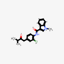 CC(C)C(=O)Cc1ccc(NC(=O)c2cn(C)c3ccccc23)c(Cl)c1